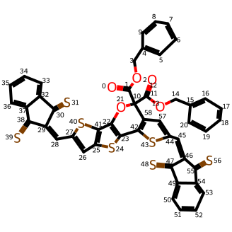 O=C(OCc1ccccc1)C1(C(=O)OCc2ccccc2)Oc2c(sc3cc(C=C4C(=S)c5ccccc5C4=S)sc23)-c2sc(C=C3C(=S)c4ccccc4C3=S)cc21